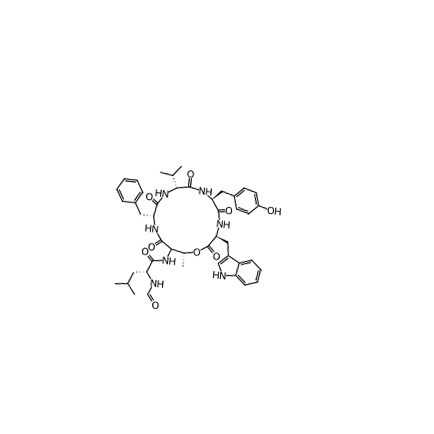 CC(C)C[C@@H](NC=O)C(=O)NC1C(=O)N[C@H](Cc2ccccc2)C(=O)N[C@H](C(C)C)C(=O)N[C@@H](Cc2ccc(O)cc2)C(=O)N[C@@H](Cc2c[nH]c3ccccc23)C(=O)O[C@@H]1C